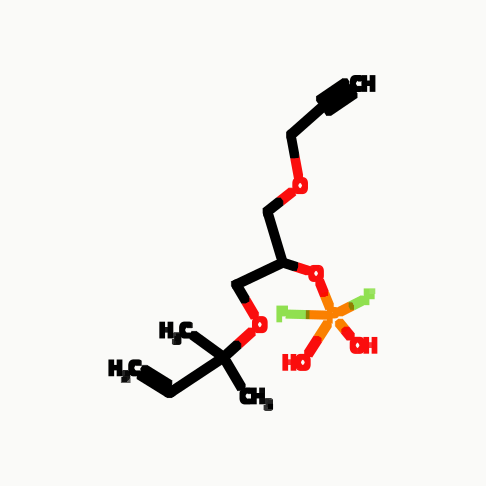 C#CCOCC(COC(C)(C)C=C)OP(O)(O)(F)F